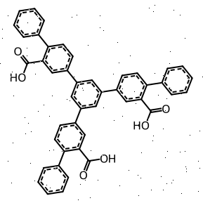 O=C(O)c1cc(-c2cc(-c3ccc(-c4ccccc4)c(C(=O)O)c3)cc(-c3ccc(-c4ccccc4)c(C(=O)O)c3)c2)ccc1-c1ccccc1